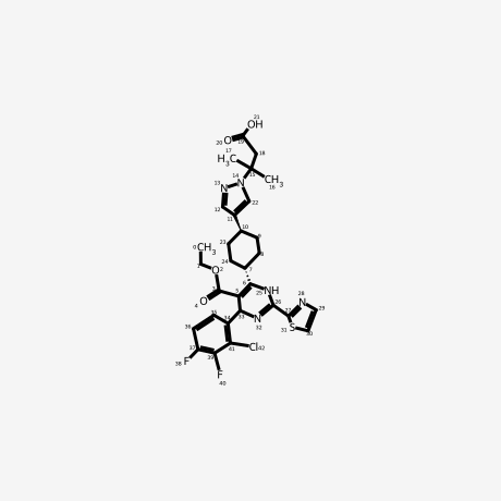 CCOC(=O)C1=C([C@H]2CC[C@H](c3cnn(C(C)(C)CC(=O)O)c3)CC2)NC(c2nccs2)=NC1c1ccc(F)c(F)c1Cl